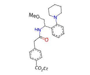 CCOC(=O)c1ccc(CC(=O)NC(COC)c2ccccc2N2CCCCC2)cc1